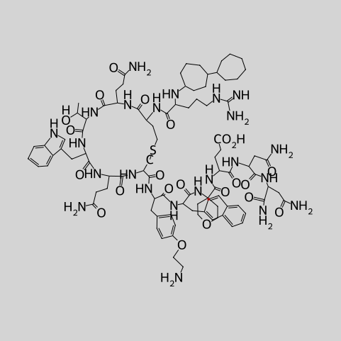 CC(O)C1NC(=O)C(CCC(N)=O)NC(=O)C(NC(=O)C(CCCNC(=N)N)NC2CCCC(C3CCCCCC3)CC2)CCSCC(C(=O)NC(Cc2ccc(OCCN)cc2)C(=O)NC(Cc2ccc3ccccc3c2)C(=O)NC2(C(=O)NC(CCC(=O)O)C(=O)NC(CC(N)=O)C(=O)NC(CC(N)=O)C(N)=O)CCOCC2)NC(=O)C(CCC(N)=O)NC(=O)C(Cc2c[nH]c3ccccc23)NC1=O